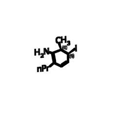 CCCC1=C(N)[C@@H](C)[C@@H](I)C=C1